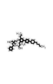 CCCCCC1CCC(c2ccc(-c3cc(CCC)c(OCCC(CO)(CO)CCc4ccccc4)c(CCCO)c3)c(C)c2)CC1